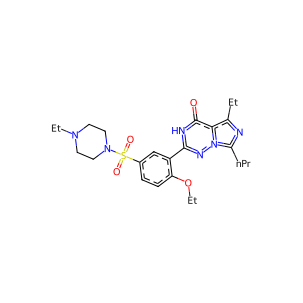 CCCc1nc(CC)c2c(=O)[nH]c(-c3cc(S(=O)(=O)N4CCN(CC)CC4)ccc3OCC)nn12